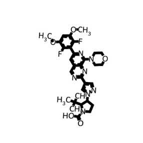 COc1cc(OC)c(F)c(-c2cc3cnc(-c4cnn(C5CCN(C(=O)O)C5C(C)(C)C)c4)nc3c(N3CCOCC3)n2)c1F